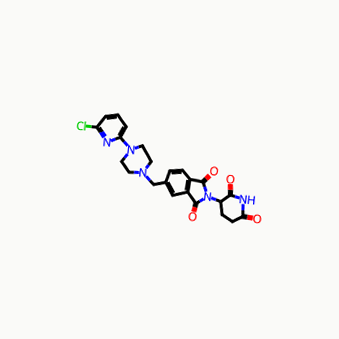 O=C1CCC(N2C(=O)c3ccc(CN4CCN(c5cccc(Cl)n5)CC4)cc3C2=O)C(=O)N1